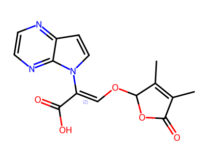 CC1=C(C)C(O/C=C(/C(=O)O)n2ccc3nccnc32)OC1=O